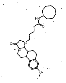 COc1ccc2c(c1)CCC1C2CC[C@]2(C)C(=O)C[C@@H](CCCCC(=O)NC3CCCCCCC3)C12